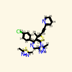 Cc1nnc(C[C@@H]2N=C(c3ccc(Cl)cc3)c3c(sc(C#Cc4ccccn4)c3C)-n3c(C)nnc32)s1